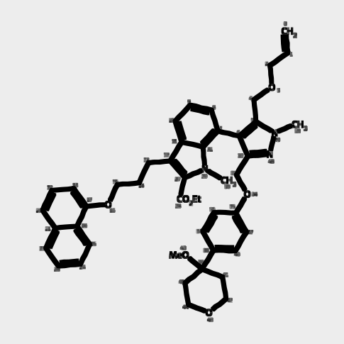 C=CCOCc1c(-c2cccc3c(CCCOc4cccc5ccccc45)c(C(=O)OCC)n(C)c23)c(COc2ccc(C3(OC)CCOCC3)cc2)nn1C